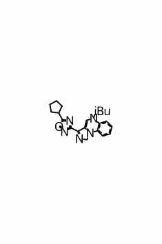 CCC(C)N1C=C2C(c3noc(C4CCCC4)n3)=NCN2c2ccccc21